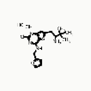 CC(C)(C)[C@H](N)Cc1cc2nc(Cl)nc(NCc3ccco3)c2s1.Cl.Cl